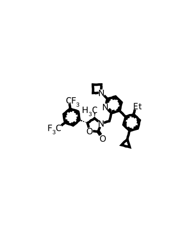 CCc1ccc(C2CC2)cc1-c1ccc(N2CCC2)nc1CN1C(=O)O[C@H](c2cc(C(F)(F)F)cc(C(F)(F)F)c2)[C@@H]1C